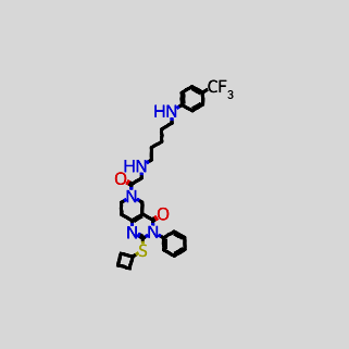 O=C(CNCCCCCNc1ccc(C(F)(F)F)cc1)N1CCc2nc(SC3CCC3)n(-c3ccccc3)c(=O)c2C1